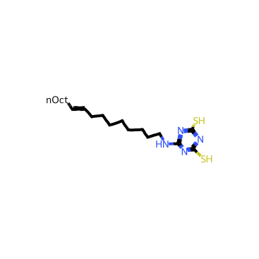 CCCCCCCCC=CCCCCCCCCNc1nc(S)nc(S)n1